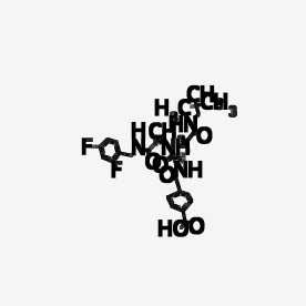 C[C@H](NC(=O)[C@H](CCC(=O)NCC(C)(C)C)NC(=O)c1ccc(C(=O)O)cc1)C(=O)NCc1ccc(F)cc1F